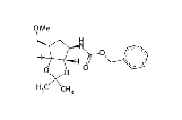 COC[C@H]1C[C@@H](NC(=O)OCc2ccccc2)[C@@H]2OC(C)(C)O[C@H]12